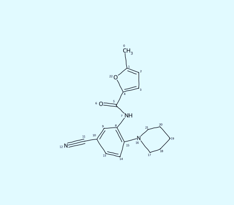 Cc1ccc(C(=O)Nc2cc(C#N)ccc2N2CCCCC2)o1